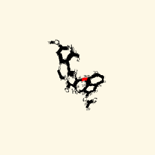 CCn1c(-c2ccc(OC)nc2C)nc(C)c(NC2c3ccccc3CC2OC(C)=O)c1=O